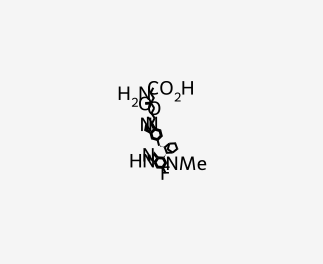 CNc1c(F)cc2[nH]ncc2c1[C@H]1C2CCC(C2)[C@H]1Cc1ccc2c(cnn2CCOC(=O)CC(N)C(=O)O)c1